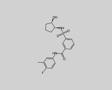 Cc1cc(NC(=O)c2cccc(S(=O)(=O)N[C@H]3CCC[C@H]3O)c2)ccc1F